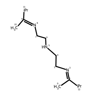 CC(=NCCNCCN=C(C)C(C)C)C(C)C